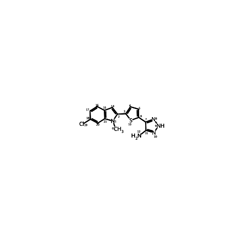 Cn1c(-c2ccc(-c3n[nH]nc3N)s2)cc2ccc(Cl)cc21